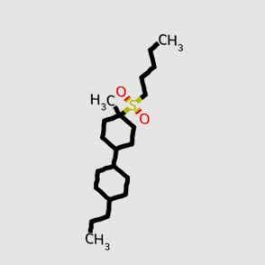 CCCCCS(=O)(=O)C1(C)CCC(C2CCC(CCC)CC2)CC1